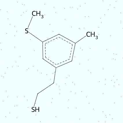 CSc1cc(C)cc(CCS)c1